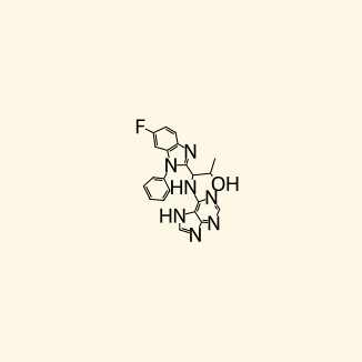 CC(O)C(Nc1ncnc2nc[nH]c12)c1nc2ccc(F)cc2n1-c1ccccc1